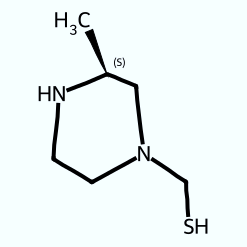 C[C@H]1CN(CS)CCN1